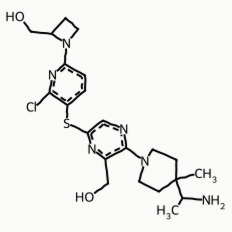 CC(N)C1(C)CCN(c2ncc(Sc3ccc(N4CCC4CO)nc3Cl)nc2CO)CC1